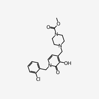 COC(=O)N1CCN(Cc2ccn(Cc3ccccc3Cl)c(=O)c2O)CC1